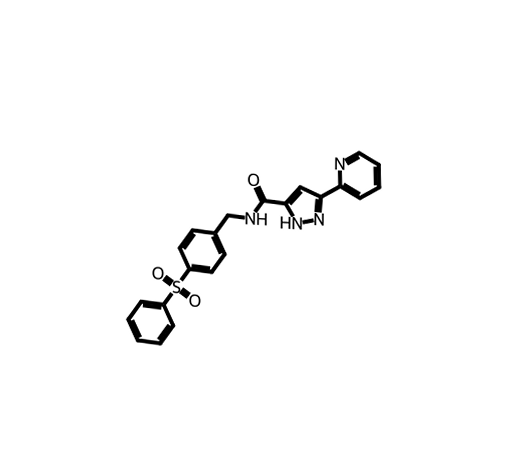 O=C(NCc1ccc(S(=O)(=O)c2ccccc2)cc1)c1cc(-c2ccccn2)n[nH]1